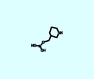 ON(O)OCC1CCCNC1